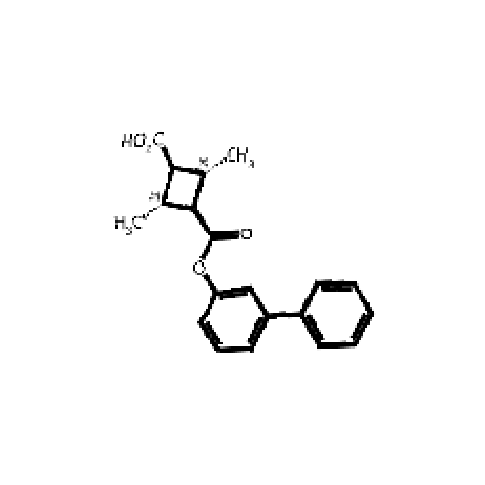 C[C@@H]1C(C(=O)O)[C@H](C)C1C(=O)Oc1cccc(-c2ccccc2)c1